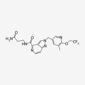 Cc1cc(Cn2cc3c(C(=O)NCCC(N)=O)nccc3n2)cnc1OCC(F)(F)F